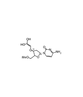 COCC1O[C@@H](n2ccc(N)nc2=O)C[C@@H]1OC=C(O)O